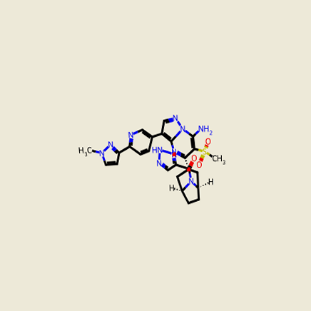 Cn1ccc(-c2ccc(-c3cnn4c(N)c(S(C)(=O)=O)c([C@@H]5C[C@H]6CC[C@@H](C5)N6C(=O)c5cn[nH]n5)nc34)cn2)n1